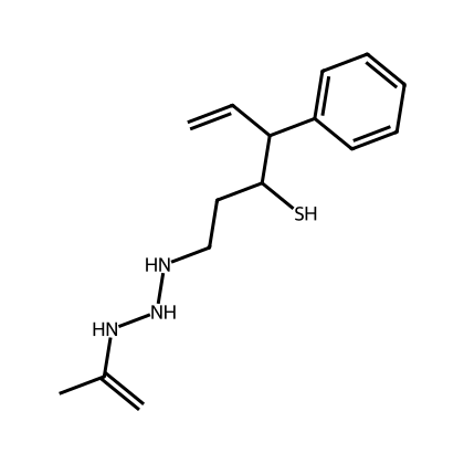 C=CC(c1ccccc1)C(S)CCNNNC(=C)C